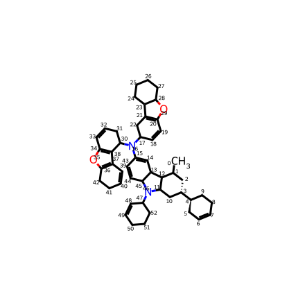 CC1C[C@H]([C@@H]2CC=CCC2)CC2C1C1C=C(N(C3C=CC4=C(C3)C3CCCCC3O4)C3CC=Cc4oc5c(c43)C=CCC5)C=CC1N2C1C=CCCC1